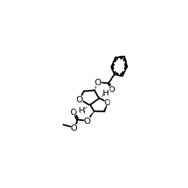 COC(=O)O[C@@H]1CO[C@H]2[C@@H]1OC[C@@H]2OC(=O)c1ccccc1